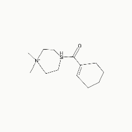 C[N+]1(C)CC[SiH](C(=O)C2=CCCCC2)CC1